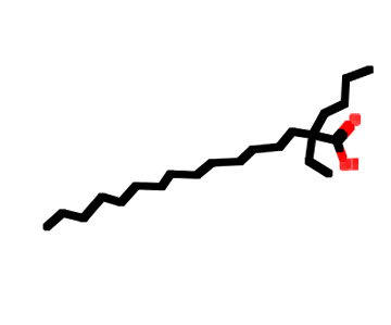 CCCCCCCCCCCCCCC(CC)(CCCC)C(=O)O